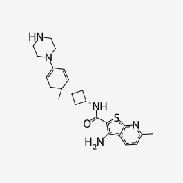 Cc1ccc2c(N)c(C(=O)N[C@H]3C[C@@H](C4(C)C=CC(N5CCNCC5)=CC4)C3)sc2n1